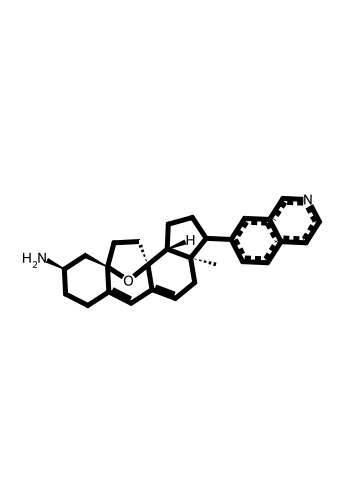 C[C@]12CC=C3C=C4CC[C@@H](N)C[C@]45CC[C@]3(O5)[C@@H]1CCC2c1ccc2ccncc2c1